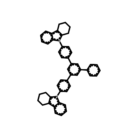 c1ccc(-c2cc(-c3ccc(-n4c5c(c6ccccc64)CCCC5)cc3)cc(-c3ccc(-n4c5c(c6ccccc64)CCCC5)cc3)c2)cc1